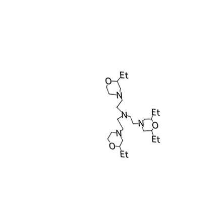 CCC1CN(CCN(CCN2CCOC(CC)C2)CCN2CC(CC)OC(CC)C2)CCO1